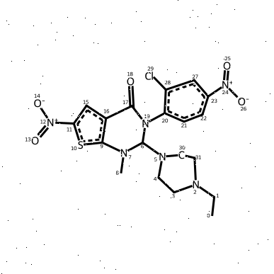 CCN1CCN(C2N(C)c3sc([N+](=O)[O-])cc3C(=O)N2c2ccc([N+](=O)[O-])cc2Cl)CC1